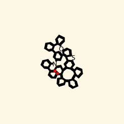 c1ccc(-c2ccccc2N(c2ccc3c(c2)-c2ccccc2-c2ccccc2O3)c2ccc3c4ccccc4c4ccccc4c4ccccc4c4cc5sc6ccccc6c5cc4c3c2)cc1